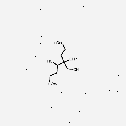 CCCCCCCCCCCCC(O)C(O)(CO)CCCCCCCCCCCC